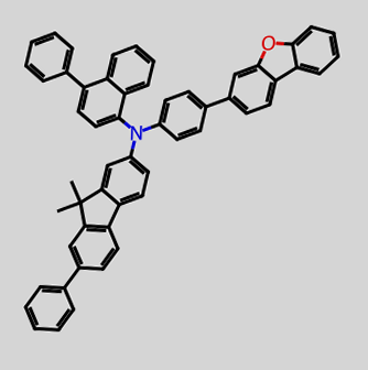 CC1(C)c2cc(-c3ccccc3)ccc2-c2ccc(N(c3ccc(-c4ccc5c(c4)oc4ccccc45)cc3)c3ccc(-c4ccccc4)c4ccccc34)cc21